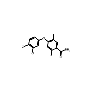 Cc1cc(C(=N)N)c(C)cc1Oc1ccc(Cl)c(Cl)c1